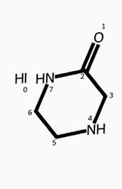 I.O=C1CNCCN1